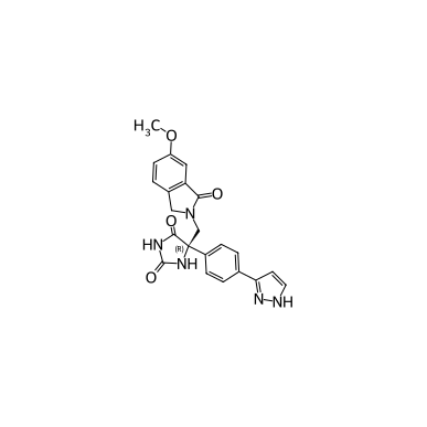 COc1ccc2c(c1)C(=O)N(C[C@@]1(c3ccc(-c4cc[nH]n4)cc3)NC(=O)NC1=O)C2